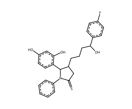 Oc1ccc(C2C(CCCC(O)c3ccc(F)cc3)CC(=S)N2c2ccccc2)c(O)c1